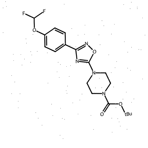 CC(C)(C)OC(=O)N1CCN(c2nc(-c3ccc(OC(F)F)cc3)no2)CC1